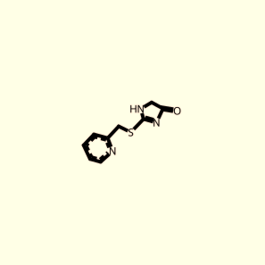 O=C1CNC(SCc2ccccn2)=N1